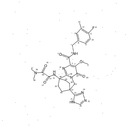 COc1c(C(=O)NCc2ccc(F)c(C)c2)nc2n(c1=O)CC1(c3nnc[nH]3)CCC2(NC(=O)C(=O)N(C)C)CC1